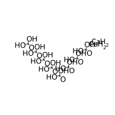 O=C(O)O.O=C(O)O.O=C(O)O.O=C(O)O.O=C(O)O.O=C(O)O.O=C(O)O.O=C(O)O.[CaH2].[CaH2]